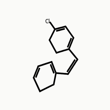 ClC1=CC=C(/C=C\C2=CC=CCC2)CC1